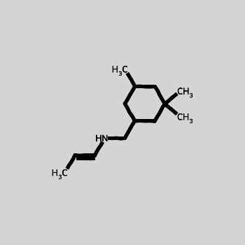 CC=CNCC1CC(C)CC(C)(C)C1